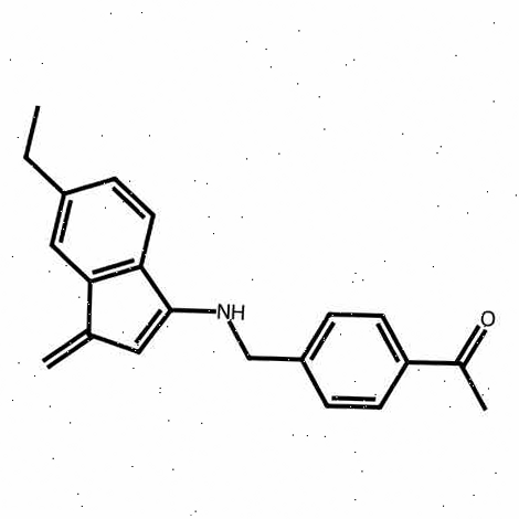 C=C1C=C(NCc2ccc(C(C)=O)cc2)c2ccc(CC)cc21